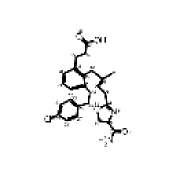 CC(=CCC1=NC(C(N)=O)CO1)Cc1c(CCC(=O)O)cccc1CCc1ccc(Cl)cc1